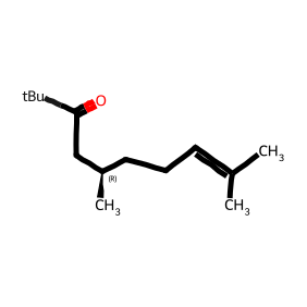 CC(C)=CCC[C@@H](C)CC(=O)C(C)(C)C